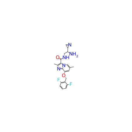 Cc1cc(OCc2c(F)cccc2F)c2nc(C)c(C(=O)NCC(N)C3C=N3)n2c1